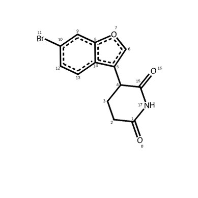 O=C1CCC(c2coc3cc(Br)ccc23)C(=O)N1